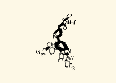 CCNc1nc2cc(-c3ccc(C=C4SC(=O)NC4=O)cn3)cc(OC(C)C)c2[nH]1